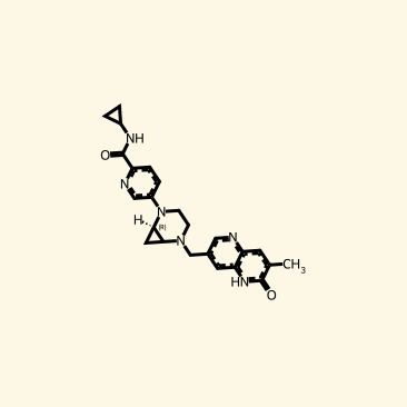 Cc1cc2ncc(CN3CCN(c4ccc(C(=O)NC5CC5)nc4)[C@@H]4CC43)cc2[nH]c1=O